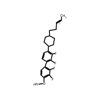 C/C=C/CCC1CCC(c2ccc(-c3ccc(OCCC)c(F)c3F)c(F)c2F)CC1